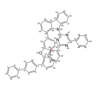 c1ccc(-c2ccc(-c3cccc4c3oc3cc(-c5cccc6c7ccccc7n(-c7nc(-c8ccccc8)nc(-c8ccccc8)n7)c56)ccc34)cc2)cc1